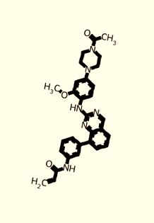 C=CC(=O)Nc1cccc(-c2cccc3cnc(Nc4ccc(N5CCN(C(C)=O)CC5)cc4OC)nc23)c1